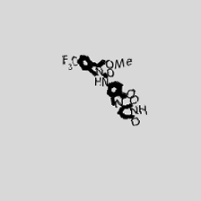 COCC1c2ccc(C(F)(F)F)cc2CN1C(=O)Nc1ccc2c(c1)CN(C1CCC(=O)NC1=O)C2=O